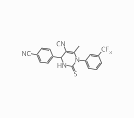 [C-]#[N+]C1=C(C)N(c2cccc(C(F)(F)F)c2)C(=S)NC1c1ccc(C#N)cc1